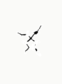 CC#CC(OCC)(OCC)O[PH2]=O